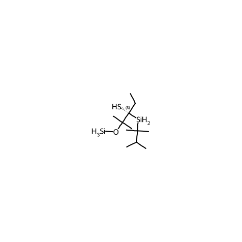 CC[C@@](S)([SiH2]C(C)(C)C(C)C)C(C)(C)O[SiH3]